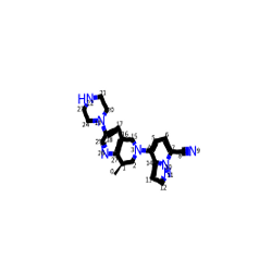 C[C@@H]1CN(c2ccc(C#N)n3nccc23)Cc2cc(N3CCNCC3)cnc21